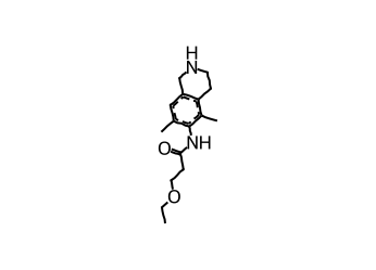 CCOCCC(=O)Nc1c(C)cc2c(c1C)CCNC2